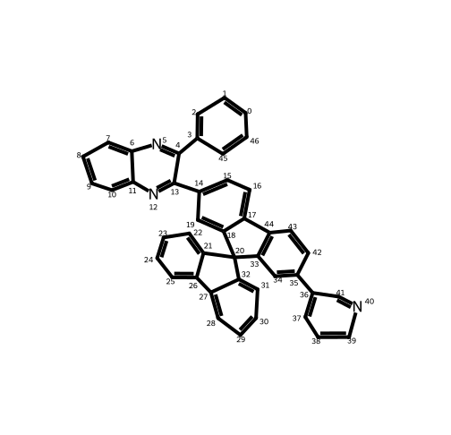 c1ccc(-c2nc3ccccc3nc2-c2ccc3c(c2)C2(c4ccccc4-c4ccccc42)c2cc(-c4cccnc4)ccc2-3)cc1